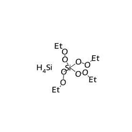 CCOO[Si](OOCC)(OOCC)OOCC.[SiH4]